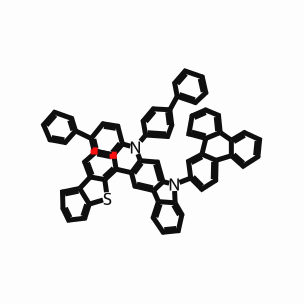 c1ccc(-c2ccc(N(c3ccc(-c4ccccc4)cc3)c3cc4c(cc3-c3cccc5c3sc3ccccc35)c3ccccc3n4-c3ccc4c5ccccc5c5ccccc5c4c3)cc2)cc1